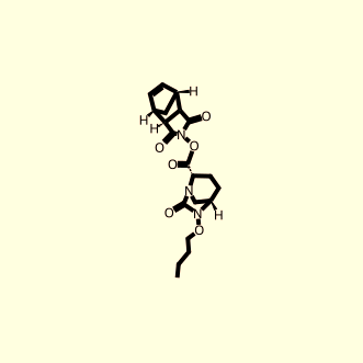 CCCCON1C(=O)N2C[C@@H]1CC[C@H]2C(=O)ON1C(=O)C2[C@@H](C1=O)[C@@H]1C=C[C@H]2C1